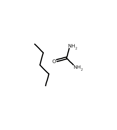 CCCCC.NC(N)=O